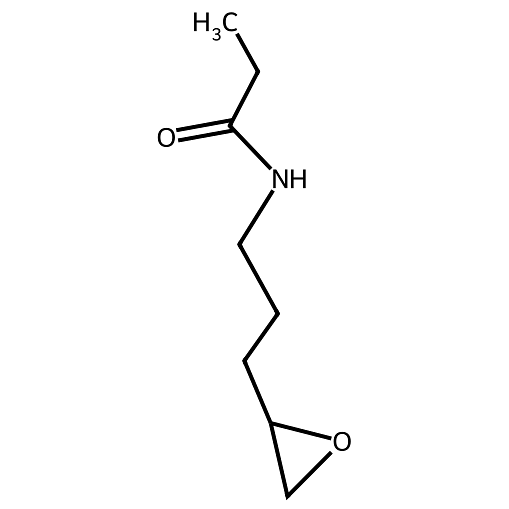 CCC(=O)NCCCC1CO1